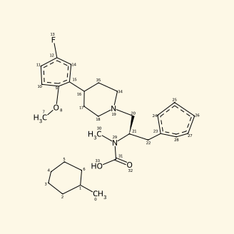 CC1CCCCC1.COc1ccc(F)cc1C1CCN(C[C@@H](Cc2ccccc2)N(C)C(=O)O)CC1